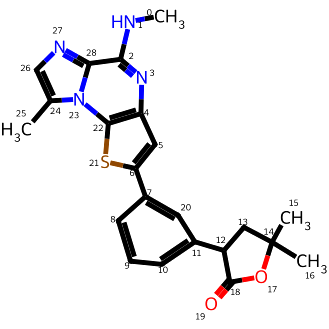 CNc1nc2cc(-c3cccc(C4CC(C)(C)OC4=O)c3)sc2n2c(C)cnc12